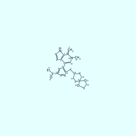 C=C1c2[nH]ccc2C(c2cc([S+]([O-])CC)ccc2CC2CCC3(CC2)OCCO3)=CN1C